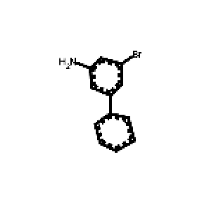 Nc1cc(Br)cc(-c2ccccc2)c1